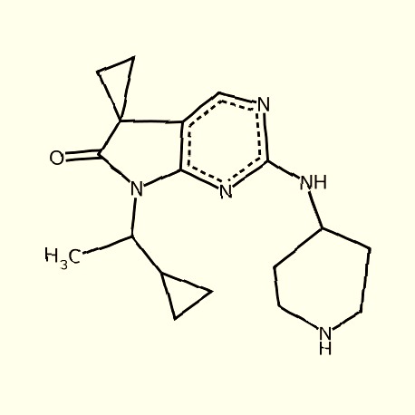 CC(C1CC1)N1C(=O)C2(CC2)c2cnc(NC3CCNCC3)nc21